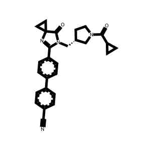 N#Cc1ccc(-c2ccc(C3=NC4(CC4)C(=O)N3C[C@@H]3CCN(C(=O)C4CC4)C3)cc2)cc1